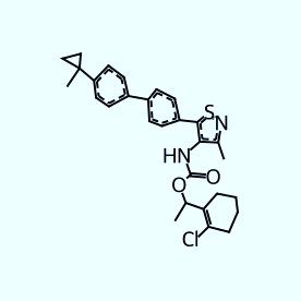 Cc1nsc(-c2ccc(-c3ccc(C4(C)CC4)cc3)cc2)c1NC(=O)OC(C)C1=C(Cl)CCCC1